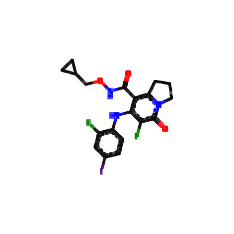 O=C(NOCC1CC1)c1c(Nc2ccc(I)cc2F)c(F)c(=O)n2c1CCC2